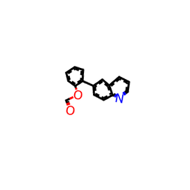 O=COc1ccccc1-c1ccc2ncccc2c1